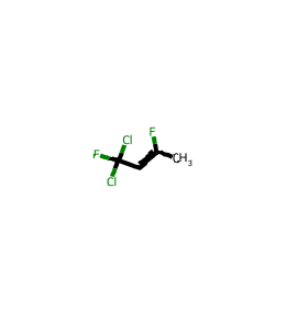 C/C(F)=C/C(F)(Cl)Cl